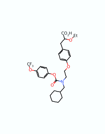 CCOC(Cc1ccc(OCCN(CC2CCCCC2)C(=O)Oc2ccc(OC(F)(F)F)cc2)cc1)C(=O)O